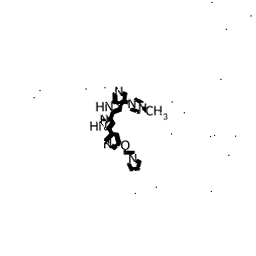 CN1CCN(c2cncc3[nH]c(-c4cc(-c5cncc(OCCN6CCCC6)c5)[nH]n4)cc23)CC1